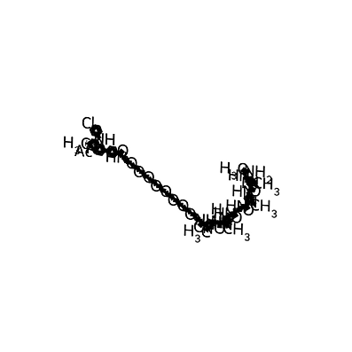 CC(=O)N1c2ccc(-c3ccc(C(=O)NCCOCCOCCOCCOCCOCCOCCOCCOCCNC(=O)c4cc(NC(=O)c5nc(NC(=O)CCNC(=O)c6cc(NC(=O)c7nc(NC(C)N)cn7C)cn6C)cn5C)cn4C)cc3)cc2[C@H](Nc2ccc(Cl)cc2)C[C@@H]1C